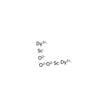 [Dy+3].[Dy+3].[O-2].[O-2].[O-2].[Sc].[Sc]